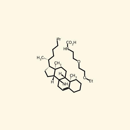 CC(C)CCC[C@@H](C)[C@H]1CC[C@H]2C3(N)CC=C4CCCC[C@]4(C)[C@H]3CC[C@]12C.CCOCCOCCNC(=O)O